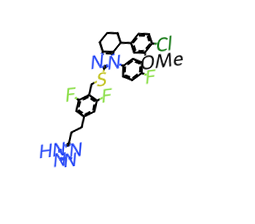 COc1cc(C2CCCc3nc(SCc4c(F)cc(CCc5nnn[nH]5)cc4F)n(-c4ccc(F)cc4)c32)ccc1Cl